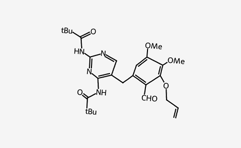 C=CCOc1c(C=O)c(Cc2cnc(NC(=O)C(C)(C)C)nc2NC(=O)C(C)(C)C)cc(OC)c1OC